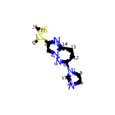 CS1(c2cn3nc(-n4ccnc4)ccc3n2)CS1